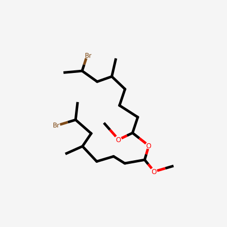 COC(CCCC(C)CC(C)Br)OC(CCCC(C)CC(C)Br)OC